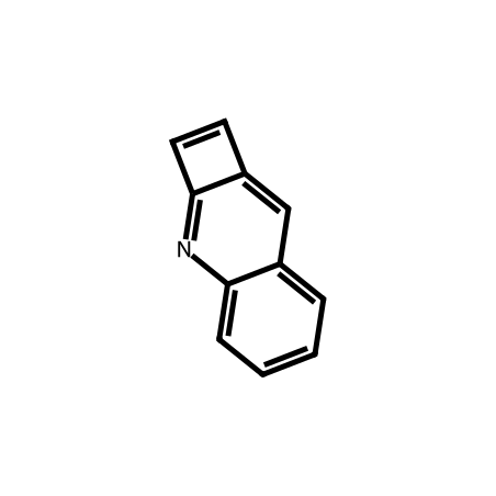 C1=Cc2nc3ccccc3cc21